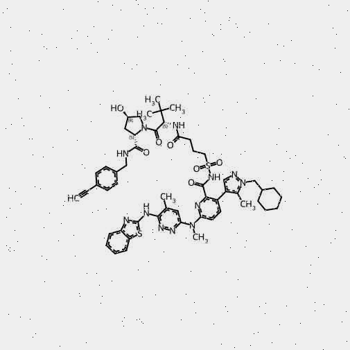 C#Cc1ccc(CNC(=O)[C@@H]2C[C@@H](O)CN2C(=O)[C@@H](NC(=O)CCCS(=O)(=O)NC(=O)c2nc(N(C)c3cc(C)c(Nc4nc5ccccc5s4)nn3)ccc2-c2cnn(CC3CCCCC3)c2C)C(C)(C)C)cc1